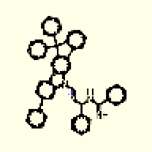 N=C(NC(/N=C/n1c2cc(-c3ccccc3)ccc2c2cc3c(cc21)-c1ccccc1C3(c1ccccc1)c1ccccc1)c1ccccc1)c1ccccc1